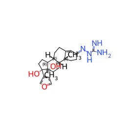 C[C@]12CCC(=NNC(=N)N)C=C1CC[C@@H]1[C@H]2CC[C@]2(C)C(O)(c3ccoc3)CC[C@@]12O